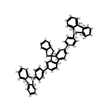 c1ccc2c(c1)CC1(C2)c2cc(-c3ccc(-n4c5ccccc5c5ccccc54)cc3)ccc2-c2ccc(-c3ccc(-n4c5ccccc5c5ccccc54)cc3)cc21